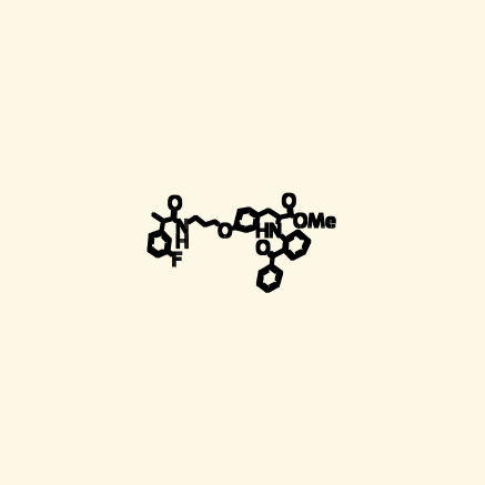 COC(=O)C(Cc1ccc(OCCCNC(=O)C(C)c2cccc(F)c2)cc1)Nc1ccccc1C(=O)c1ccccc1